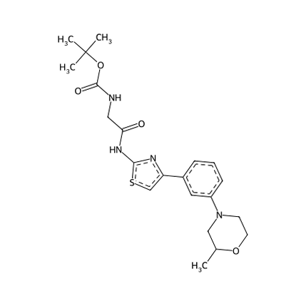 CC1CN(c2cccc(-c3csc(NC(=O)CNC(=O)OC(C)(C)C)n3)c2)CCO1